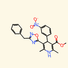 COC(=O)C1=C(C)NC(C)=C(c2nc(Cc3ccccc3)no2)C1c1cccc([N+](=O)[O-])c1